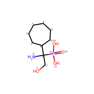 NC(CO)(C1CCCCCC1)P(=O)(O)O